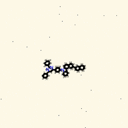 c1ccc(-c2cc(-c3ccc(-n4c5ccccc5c5c6cc(-c7ccc8ccccc8c7)ccc6ccc54)cc3)nc(-c3ccccc3)n2)cc1